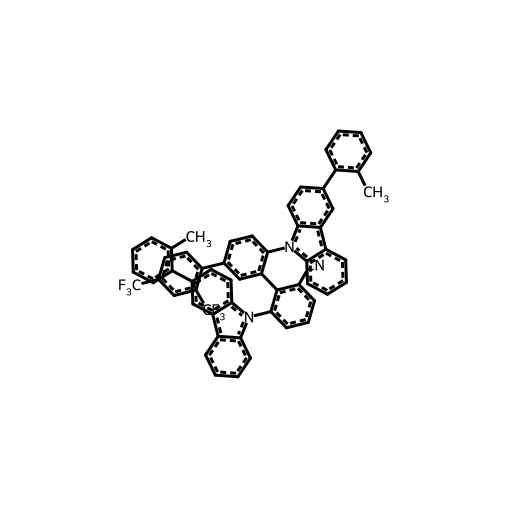 Cc1ccccc1-c1ccc2c(c1)c1ccccc1n2-c1ccc(-c2ccc(C(F)(F)F)cc2C(F)(F)F)cc1-c1c(C#N)cccc1-n1c2ccccc2c2cc(-c3ccccc3C)ccc21